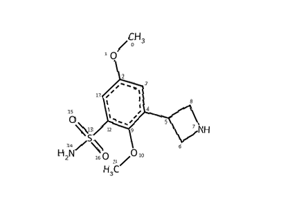 COc1cc(C2CNC2)c(OC)c(S(N)(=O)=O)c1